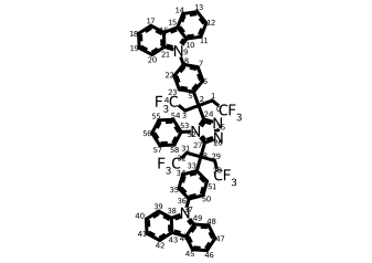 FC(F)(F)CC(CC(F)(F)F)(c1ccc(-n2c3ccccc3c3ccccc32)cc1)c1nnc(C(CC(F)(F)F)(CC(F)(F)F)c2ccc(-n3c4ccccc4c4ccccc43)cc2)n1-c1ccccc1